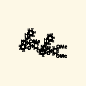 COCCN(CCOC)C(=O)Cn1c(NCc2ccccc2)nc2ccccc21.COCCN(CCOC)C(=O)Cn1c(NCc2ccccc2)nc2ccccc21